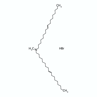 Br.CCCCCCCCC=CCCCCCCCCN(C)CCCCCCCCC=CCCCCCCCC